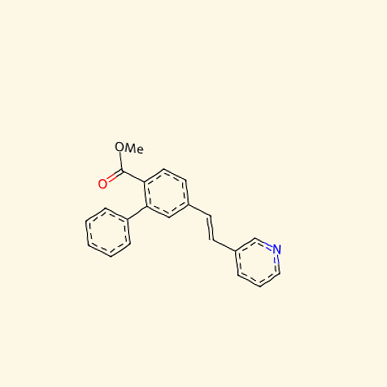 COC(=O)c1ccc(/C=C/c2cccnc2)cc1-c1ccccc1